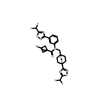 O=C(N(CC12CCC(c3noc(C(F)F)n3)(CC1)CC2)c1cccc(-c2noc(C(F)F)n2)c1)C12CC(F)(C1)C2